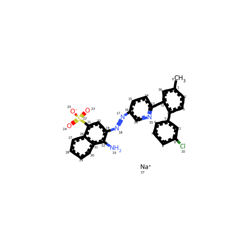 Cc1ccc(-c2cccc(Cl)c2)c(-c2ccc(N=Nc3cc(S(=O)(=O)[O-])c4ccccc4c3N)cn2)c1.[Na+]